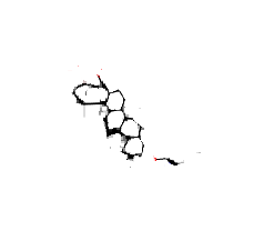 C/C=C/C(=O)O[C@@H]1CC(C)(C)C[C@@H]2C3=CC[C@@H]4[C@@]5(C)CC[C@H](O)[C@@](C)(CO)C5CC[C@@]4(C)[C@]3(C)CC[C@]21C